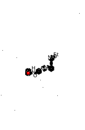 CCOc1cncc(C#Cc2ccccc2CN2CCN(c3ccc(C(=O)NCC45CC6CC(CC(C6)C4)C5)cc3)CC2)c1